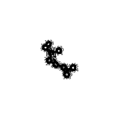 c1ccc(-c2nc(-c3cccc4ccccc34)nc(-c3cccc4c3sc3cc(-c5ccc6c(c5)c5ccccc5n6-c5ccccc5)ccc34)n2)cc1